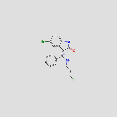 O=C1Nc2ccc(Br)cc2/C1=C(/NCCCF)c1ccccc1